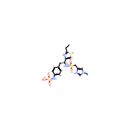 CCc1nc([C@H](Cc2ccc(NS(=O)(=O)O)cc2)NS(=O)(=O)Cc2cn(C)cn2)cs1